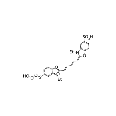 CCN1C(=CC=CC=Cc2oc3ccc(SOOO)cc3[n+]2CC)Oc2ccc(S(=O)(=O)O)cc21